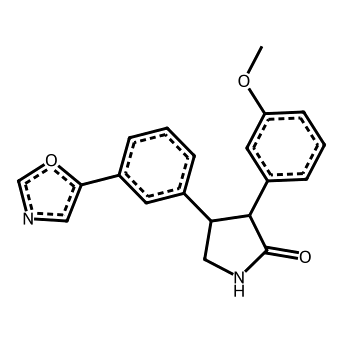 COc1cccc(C2C(=O)NCC2c2cccc(-c3cnco3)c2)c1